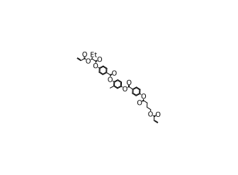 C=CC(=O)OCCCC(=O)Oc1ccc(C(=O)Oc2ccc(OC(=O)c3ccc(OC(=O)C(CC)OC(=O)C=C)cc3)c(C)c2)cc1